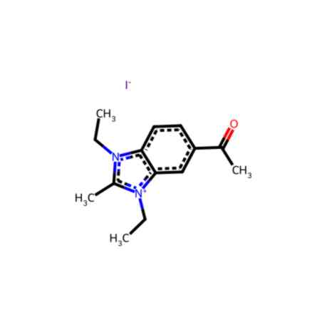 CCn1c(C)[n+](CC)c2cc(C(C)=O)ccc21.[I-]